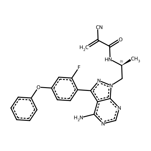 C=C(C#N)C(=O)N[C@@H](C)Cn1nc(-c2ccc(Oc3ccccc3)cc2F)c2c(N)ncnc21